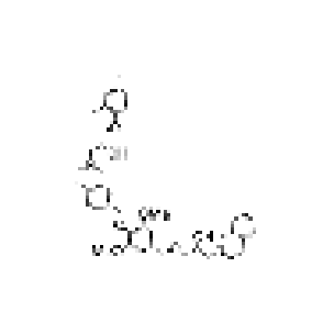 COc1cc(COCC(O)CN2CCc3ccccc3C2)cc(OC)c1OCc1ccc2c(c1)CN(CC(O)COc1ccc(C)cc1C)CC2